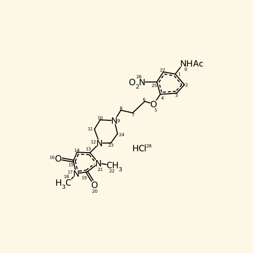 CC(=O)Nc1ccc(OCCCN2CCN(c3cc(=O)n(C)c(=O)n3C)CC2)c([N+](=O)[O-])c1.Cl